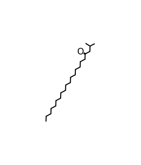 CCCCCCCCCCCCCCCCCC(=O)CC(C)C